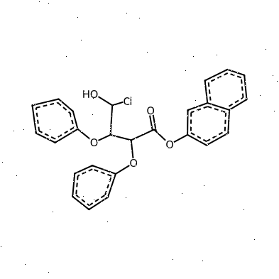 O=C(Oc1ccc2ccccc2c1)C(Oc1ccccc1)C(Oc1ccccc1)C(O)Cl